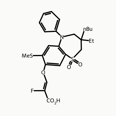 CCCCC1(CC)CN(c2ccccc2)c2cc(SC)c(O/C=C(\F)C(=O)O)cc2S(=O)(=O)C1